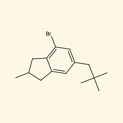 CC1Cc2cc(CC(C)(C)C)cc(Br)c2C1